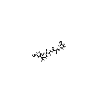 CN(C)C1(Cc2cccc(Cl)c2)CCC(NC(=O)CCC(=O)NCCc2cccc(Cl)c2)CC1